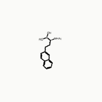 CC(=O)N[C@@H](CCc1ccc2ccccc2c1)B(O)O